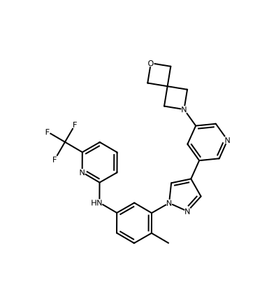 Cc1ccc(Nc2cccc(C(F)(F)F)n2)cc1-n1cc(-c2cncc(N3CC4(COC4)C3)c2)cn1